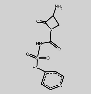 NC1CN(C(=O)NS(=O)(=O)Nc2ccncc2)C1=O